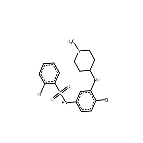 CN1CCC(Nc2cc(NS(=O)(=O)c3ccccc3Cl)ccc2Cl)CC1